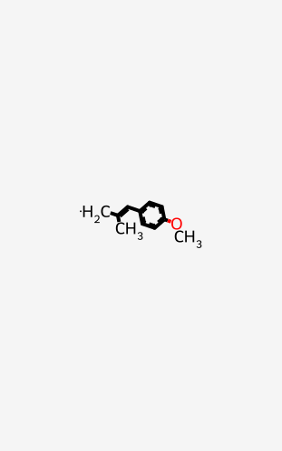 [CH2]/C(C)=C/c1ccc(OC)cc1